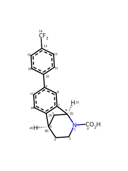 O=C(O)N1CC[C@@H]2C[C@H]1c1cc(-c3ccc(C(F)(F)F)cc3)ccc12